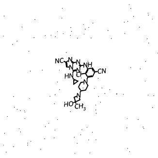 CC1(O)CN(C2CCN(c3cc(C#N)cc(Nc4nc(NC5CC5)n5cc(C#N)nc5n4)c3Cl)CC2)C1